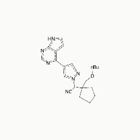 CCCCOCC1(C(C#N)n2cc(-c3ncnc4[nH]ccc34)cn2)CCCC1